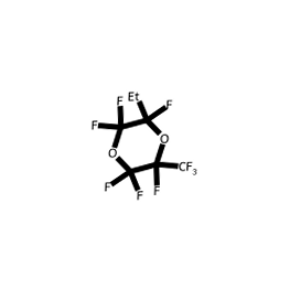 CCC1(F)OC(F)(C(F)(F)F)C(F)(F)OC1(F)F